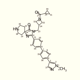 Cn1cc(-c2ccc(-c3ccc(C4=NC5(CCNCC5)C(=O)N4CC4CN(C(=O)C5CC5)C4)cc3)cc2)cn1